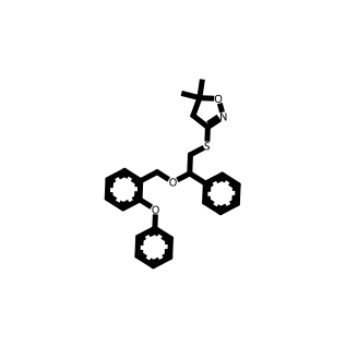 CC1(C)CC(SCC(OCc2ccccc2Oc2ccccc2)c2ccccc2)=NO1